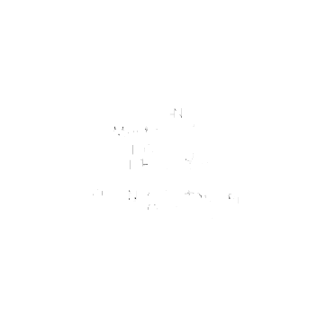 COc1cncc2c1[C@]1(O)[C@H](O)[C@H](C(=O)N3CCOCC3)[C@@H](c3ccccc3)[C@]1(c1ccc(Br)cc1)O2